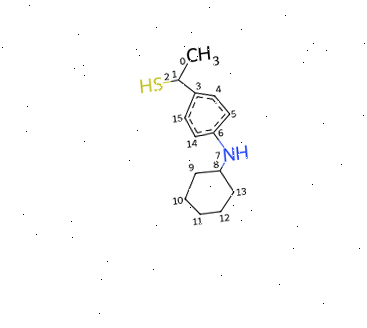 CC(S)c1ccc(NC2CCCCC2)cc1